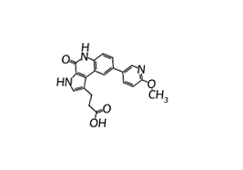 COc1ccc(-c2ccc3[nH]c(=O)c4[nH]cc(CCC(=O)O)c4c3c2)cn1